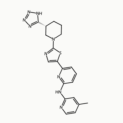 Cc1ccnc(Nc2cccc(-c3cnc(N4CCC[C@@H](c5nnn[nH]5)C4)s3)n2)c1